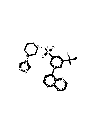 O=S(=O)(N[C@H]1CCC[C@@H](n2cnnc2)C1)c1cc(-c2cccc3cccnc23)cc(C(F)(F)F)c1